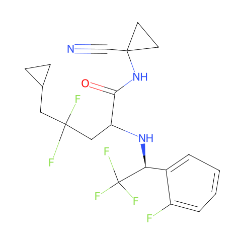 N#CC1(NC(=O)C(CC(F)(F)CC2CC2)N[C@@H](c2ccccc2F)C(F)(F)F)CC1